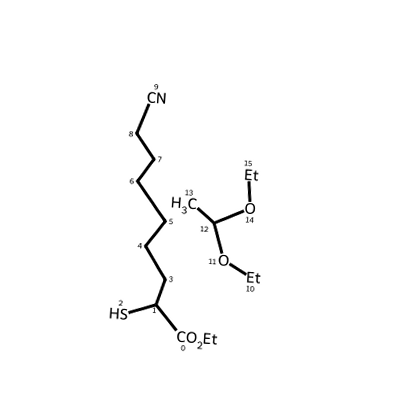 CCOC(=O)C(S)CCCCCCC#N.CCOC(C)OCC